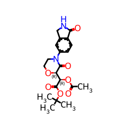 CC(=O)O[C@@H](C(=O)OC(C)(C)C)[C@H]1OCCN(c2ccc3c(c2)CNC3=O)C1=O